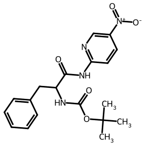 CC(C)(C)OC(=O)NC(Cc1ccccc1)C(=O)Nc1ccc([N+](=O)[O-])cn1